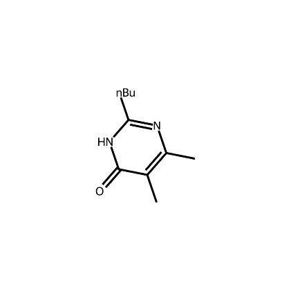 CCCCc1nc(C)c(C)c(=O)[nH]1